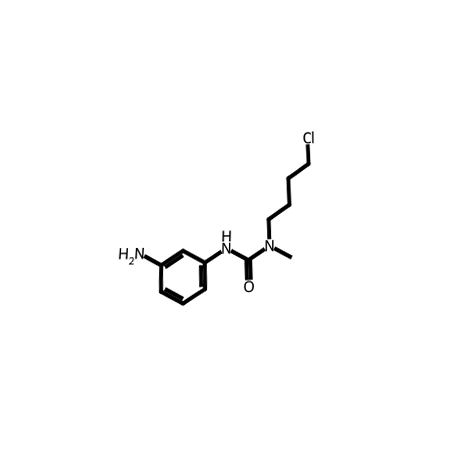 CN(CCCCCl)C(=O)Nc1cccc(N)c1